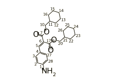 Nc1ccc(C=C(C(=O)OCC2CCCCC2)C(=O)OCC2CCCCC2)cc1